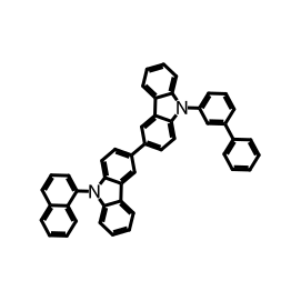 c1ccc(-c2cccc(-n3c4ccccc4c4cc(-c5ccc6c(c5)c5ccccc5n6-c5cccc6ccccc56)ccc43)c2)cc1